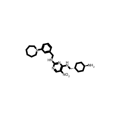 N[C@H]1CC[C@H](CNc2nc(NCc3cccc(N4CCCCCC4)c3)ncc2[N+](=O)[O-])CC1